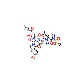 C=C[C@@H]1C[C@]1(NC(=O)[C@@H]1C[C@@H](Oc2nccc3cc(OC)ccc23)CN1C(=O)[C@H](CCC(=O)/C=C/C(C)C)N(C(=O)O)C(C)(C)C)C(=O)NS(=O)(=O)C1CC1